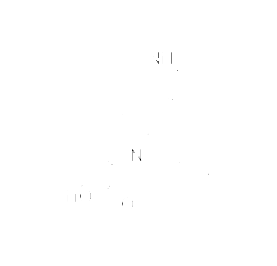 Nc1ccc(N(CC(=O)O)c2ccccc2)cc1